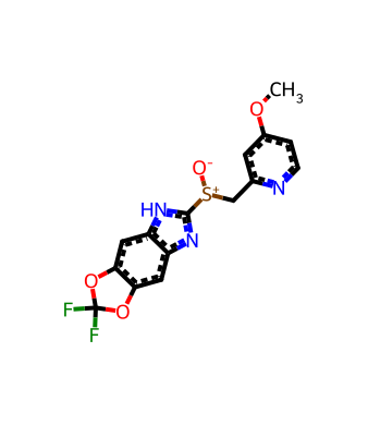 COc1ccnc(C[S+]([O-])c2nc3cc4c(cc3[nH]2)OC(F)(F)O4)c1